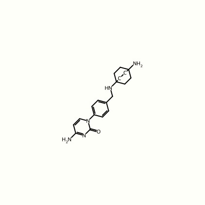 Nc1ccn(-c2ccc(CNC34CCC(N)(CC3)CC4)cc2)c(=O)n1